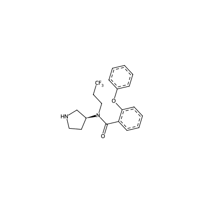 O=C(c1ccccc1Oc1ccccc1)N(CCC(F)(F)F)[C@H]1CCNC1